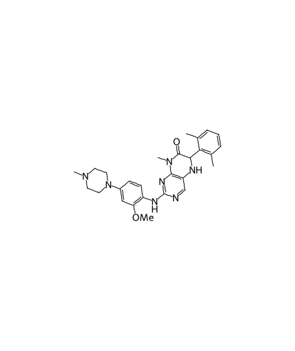 COc1cc(N2CCN(C)CC2)ccc1Nc1ncc2c(n1)N(C)C(=O)C(c1c(C)cccc1C)N2